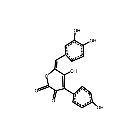 O=C1O/C(=C/c2ccc(O)c(O)c2)C(O)=C(c2ccc(O)cc2)C1=O